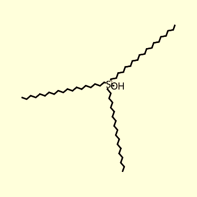 CCCCCCCCCCCCCCCCCCC[Si](O)(CCCCCCCCCCCCCCCCCCC)CCCCCCCCCCCCCCCCCCC